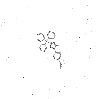 Cc1nn(C(c2ccccc2)(c2ccccc2)c2ccccc2)cc1-c1ccc(C#N)cn1